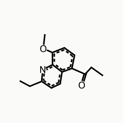 CCC(=O)c1ccc(OC)c2nc(CC)ccc12